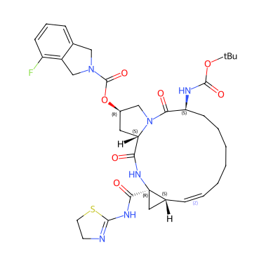 CC(C)(C)OC(=O)N[C@H]1CCCCC/C=C\[C@@H]2C[C@@]2(C(=O)NC2=NCCS2)NC(=O)[C@@H]2C[C@@H](OC(=O)N3Cc4cccc(F)c4C3)CN2C1=O